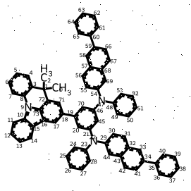 CC1(C)c2ccccc2-n2c3ccccc3c3cc(-c4cc(N(c5ccccc5)c5ccc6cc(-c7ccccc7)ccc6c5)cc(N(c5ccccc5)c5ccc6cc(-c7ccccc7)ccc6c5)c4)cc1c32